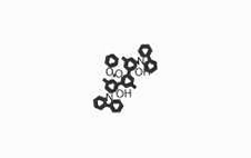 Cc1cc(-c2cc(C)cc(-n3c4ccccc4c4ccccc43)c2O)c(OCOc2ccccc2)c(-c2cc(C)cc(-n3c4ccccc4c4ccccc43)c2O)c1